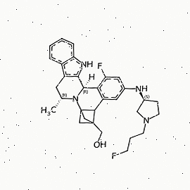 C[C@@H]1Cc2c([nH]c3ccccc23)[C@H]2c3c(F)cc(N[C@H]4CCN(CCCF)C4)cc3C3C4(CO)CC3(C4)N21